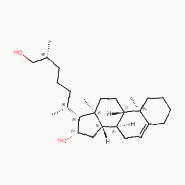 C[C@@H](CO)CCC[C@@H](C)[C@H]1[C@@H](O)C[C@H]2[C@@H]3CC=C4CCCC[C@]4(C)[C@H]3CC[C@]12C